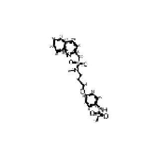 CN(CCCOc1ccc(NS(C)(=O)=O)cc1)S(=O)(=O)Cc1ccc2ccccc2n1